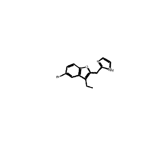 CCc1c(Cc2ncc[nH]2)oc2ccc(Br)cc12